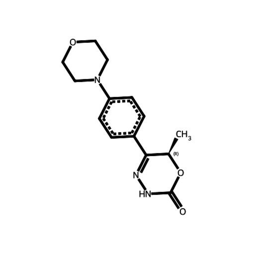 C[C@H]1OC(=O)NN=C1c1ccc(N2CCOCC2)cc1